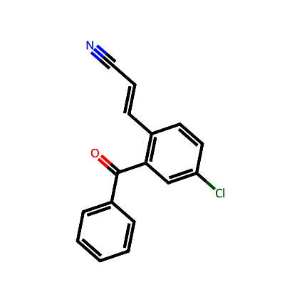 N#CC=Cc1ccc(Cl)cc1C(=O)c1ccccc1